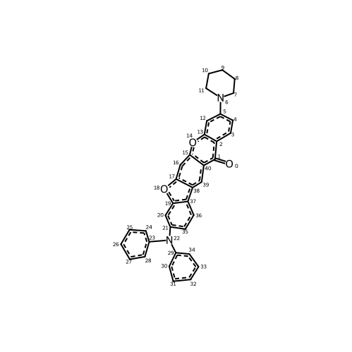 O=c1c2ccc(N3CCCCC3)cc2oc2cc3oc4cc(N(c5ccccc5)c5ccccc5)ccc4c3cc12